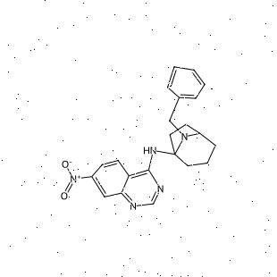 O=[N+]([O-])c1ccc2c(NC34CCCC(CC3)N4Cc3ccccc3)ncnc2c1